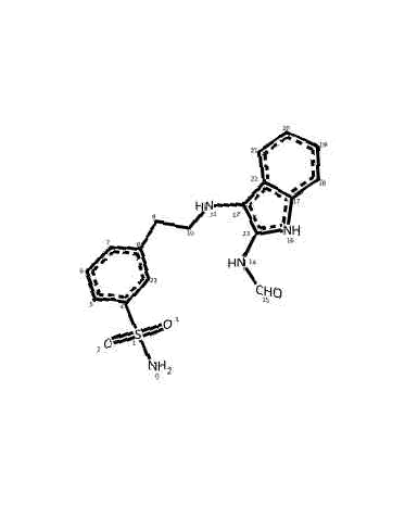 NS(=O)(=O)c1cccc(CCNc2c(NC=O)[nH]c3ccccc23)c1